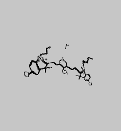 CCCCN1/C(=C/C=C2\CSCC(/C=C/C3=[N+](CCCC)c4ccc(Cl)cc4C3(C)C)=C2Cl)C(C)(C)c2cc(Cl)ccc21.[I-]